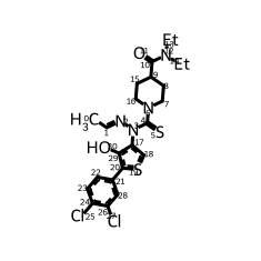 CC=NN(C(=S)N1CCC(C(=O)N(CC)CC)CC1)c1csc(-c2ccc(Cl)c(Cl)c2)c1O